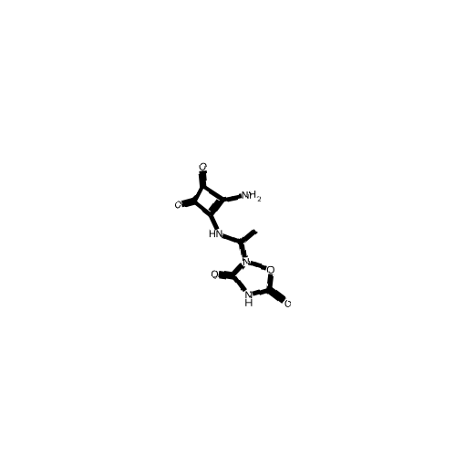 CC(Nc1c(N)c(=O)c1=O)n1oc(=O)[nH]c1=O